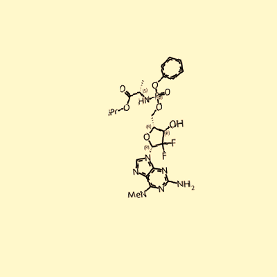 CNc1nc(N)nc2c1ncn2[C@@H]1O[C@H](CO[P@](=O)(N[C@@H](C)C(=O)OC(C)C)Oc2ccccc2)[C@@H](O)C1(F)F